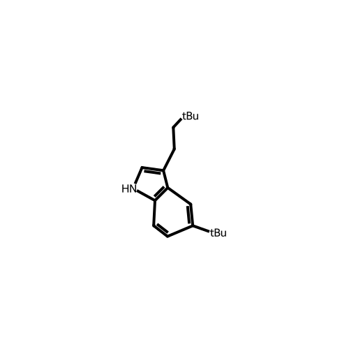 CC(C)(C)CCc1c[nH]c2ccc(C(C)(C)C)cc12